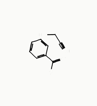 C#CCC.CC(=O)c1ccccc1